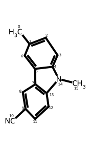 Cc1ccc2c(c1)c1cc(C#N)ccc1n2C